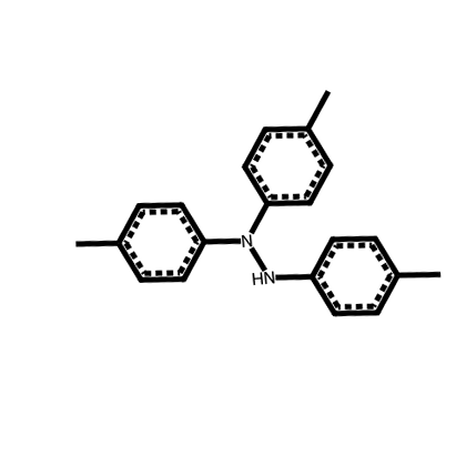 Cc1ccc(NN(c2ccc(C)cc2)c2ccc(C)cc2)cc1